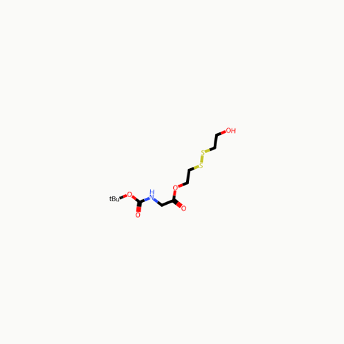 CC(C)(C)OC(=O)NCC(=O)OCCSSCCO